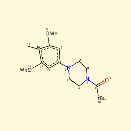 COc1cc(N2CCN(C(=O)C(C)(C)C)CC2)cc(OC)c1C